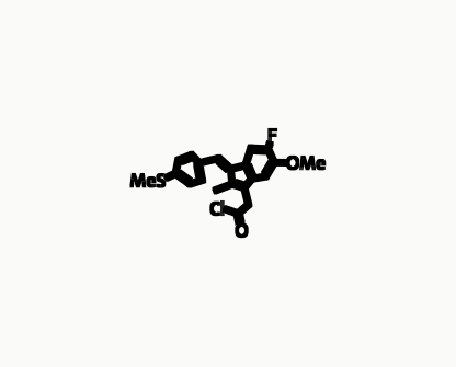 COc1cc2c(cc1F)C(=Cc1ccc(SC)cc1)C(C)=C2CC(=O)Cl